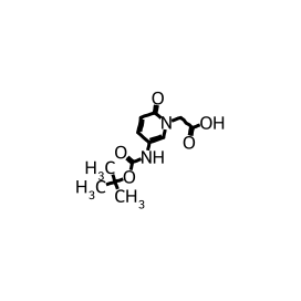 CC(C)(C)OC(=O)Nc1ccc(=O)n(CC(=O)O)c1